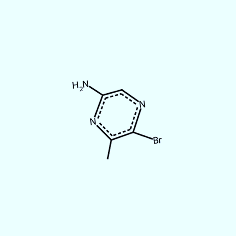 Cc1nc(N)cnc1Br